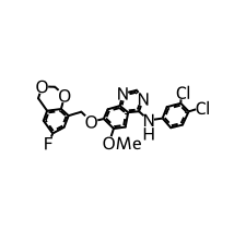 COc1cc2c(Nc3ccc(Cl)c(Cl)c3)ncnc2cc1OCc1cc(F)cc2c1OCOC2